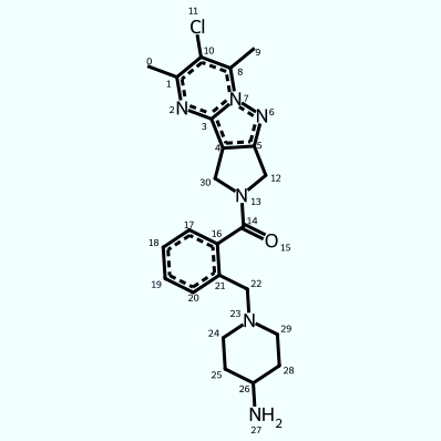 Cc1nc2c3c(nn2c(C)c1Cl)CN(C(=O)c1ccccc1CN1CCC(N)CC1)C3